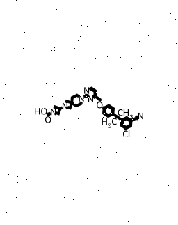 CC(C)(c1ccc(OCc2ccnc(N3CCC4(CC3)CN(C3CN(C(=O)O)C3)C4)n2)cc1)c1cc(Cl)cc(C#N)c1